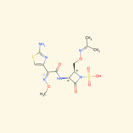 CO/N=C(\C(=O)N[C@@H]1C(=O)N(S(=O)(=O)O)[C@@H]1CON=C(C)C)c1csc(N)n1